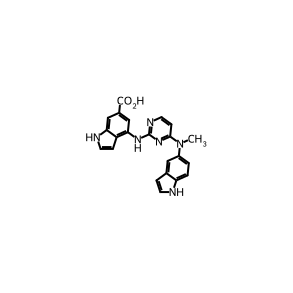 CN(c1ccc2[nH]ccc2c1)c1ccnc(Nc2cc(C(=O)O)cc3[nH]ccc23)n1